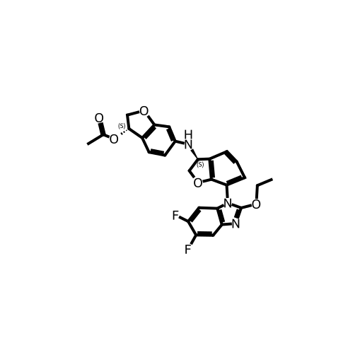 CCOc1nc2cc(F)c(F)cc2n1-c1cccc2c1OC[C@H]2Nc1ccc2c(c1)OC[C@H]2OC(C)=O